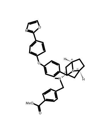 COC(=O)c1ccc(CN(C)[C@@H]2C[C@H]3CC[C@@H](C2)N3Cc2ccc(Oc3ccc(-c4ncco4)cc3)cc2)cc1